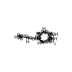 C[C@@H]1NC(=O)[C@H](Cc2ccccc2)NC(=O)[C@@H](NC(=O)COCCOCCOCCNC(=O)CCCCC2SC[C@H]3NC(=O)N[C@@H]23)Cc2cn(nn2)CCCC[C@@H](C(N)=O)NC(=O)[C@H](Cc2c[nH]cn2)NC(=O)[C@H](Cc2ccc(O)cc2)NC(=O)CNC1=O